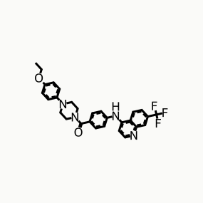 CCOc1ccc(N2CCN(C(=O)c3ccc(Nc4ccnc5cc(C(F)(F)F)ccc45)cc3)CC2)cc1